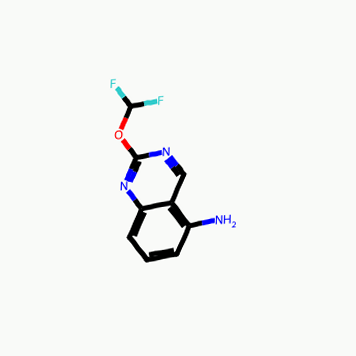 Nc1cccc2nc(OC(F)F)ncc12